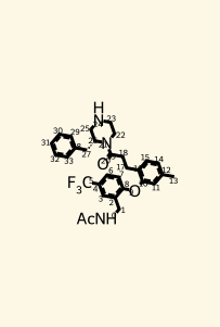 CC(=O)NCc1cc(C(F)(F)F)ccc1Oc1cc(C)ccc1CCC(=O)N1CCNC[C@H]1Cc1ccccc1